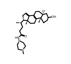 C[C@H](CCC(=O)NN1CCN(C)CC1)[C@H]1CC=C2C3=C(CC[C@@]21C)[C@@]1(C)CCC(O)C[C@@H]1CC3